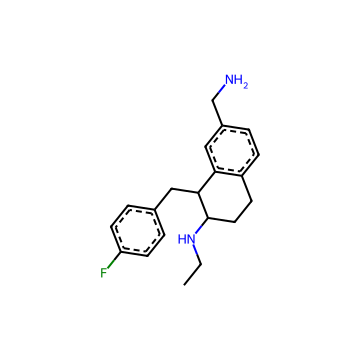 CCNC1CCc2ccc(CN)cc2C1Cc1ccc(F)cc1